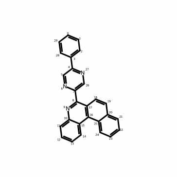 c1ccc(-c2cnc(-c3nc4ccccc4c4c3ccc3ccccc34)cn2)cc1